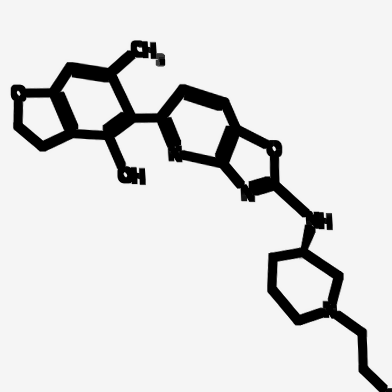 Cc1cc2c(c(O)c1-c1ccc3oc(N[C@@H]4CCCN(CCO)C4)nc3n1)CCO2